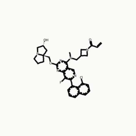 C=CC(=O)N1CC(CN(C)c2nc(OC[C@@]34CCCN3C[C@H](O)C4)nc3c(F)c(-c4cccc5cccc(Cl)c45)ncc23)C1